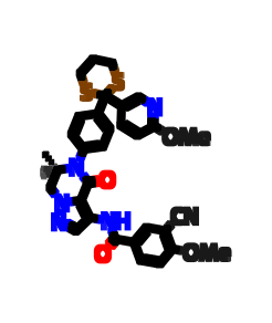 COc1ccc(C2(c3ccc(N4C(=O)c5c(NC(=O)c6ccc(OC)c(C#N)c6)cnn5C[C@@H]4C)cc3)SCCCS2)cn1